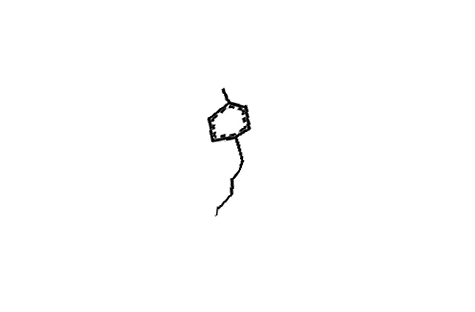 Cc1ccc(CCCI)cc1